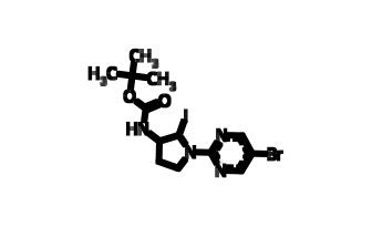 CC(C)(C)OC(=O)NC1CCN(c2ncc(Br)cn2)C1I